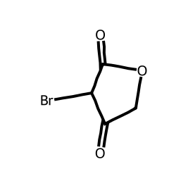 O=C1COC(=O)C1Br